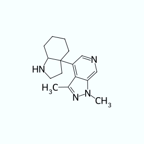 Cc1nn(C)c2cncc(C34CCCCC3NCC4)c12